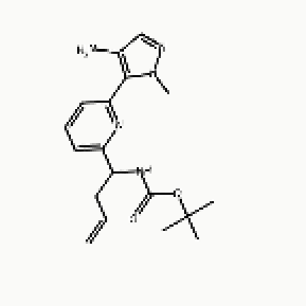 C=CCC(NC(=O)OC(C)(C)C)c1cccc(-c2c(N)cnn2C)n1